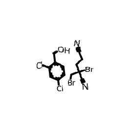 N#CCCC(Br)(C#N)CBr.OCc1ccc(Cl)cc1Cl